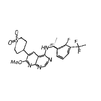 COc1nc2ncnc(N[C@H](C)c3cccc(C(C)(F)F)c3F)c2cc1C1CCS(=O)(=O)CC1